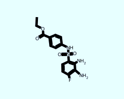 CCOC(=O)c1ccc(NS(=O)(=O)c2ccc(F)c(N)c2N)cc1